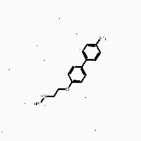 CCCNCCOc1ccc(-c2ccc(C(F)(F)F)cc2)cc1